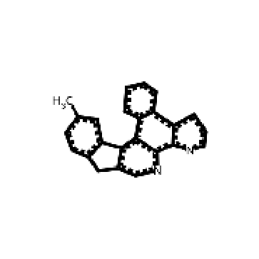 Cc1ccc2c(c1)-c1c(cnc3c4ncccc4c4ccccc4c13)C2